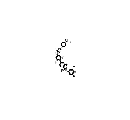 CC1CCC(OCC(F)(F)Oc2cc(F)c(-c3ccc(C(F)(F)Oc4cc(F)c(F)c(F)c4)c(F)c3)c(F)c2)CC1